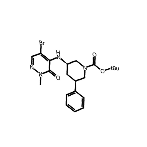 Cn1ncc(Br)c(N[C@@H]2C[C@H](c3ccccc3)CN(C(=O)OC(C)(C)C)C2)c1=O